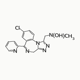 CN(O)Cc1nnc2n1-c1ccc(Cl)cc1C(c1ccccn1)=NC2